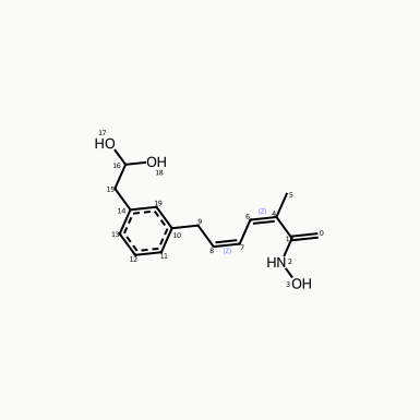 C=C(NO)/C(C)=C\C=C/Cc1cccc(CC(O)O)c1